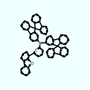 c1cc(-c2cccc3c2oc2ccccc23)cc(N(c2ccc3c(c2)C2(c4ccccc4-c4ccccc42)c2ccccc2-3)c2ccc3c(c2)C2(c4ccccc4-c4ccccc42)c2ccccc2-3)c1